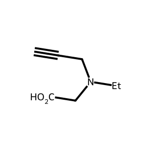 C#CCN(CC)CC(=O)O